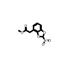 COC(=O)Cc1cccc2c1OC([N+](=O)[O-])O2